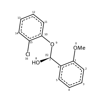 COc1ccccc1[C@@H](O)Oc1ccccc1Cl